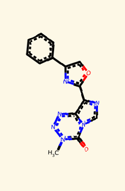 Cn1nnc2c(-c3nc(-c4ccccc4)co3)ncn2c1=O